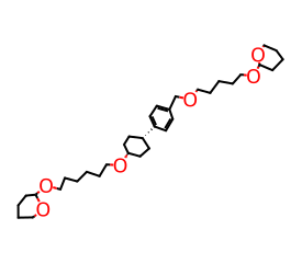 c1cc([C@H]2CC[C@H](OCCCCCCOC3CCCCO3)CC2)ccc1COCCCCCOC1CCCCO1